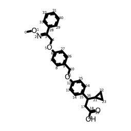 CON=C(COc1ccc(COc2ccc(C(CC(=O)O)C3CC3)cc2)cc1)c1ccccc1